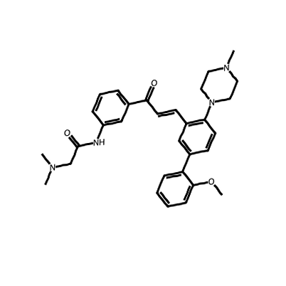 COc1ccccc1-c1ccc(N2CCN(C)CC2)c(C=CC(=O)c2cccc(NC(=O)CN(C)C)c2)c1